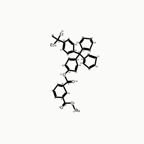 CCC(C)OC(=O)c1cccc(C(=O)Oc2ccc(C(c3ccccc3)(c3ccccc3)c3ccc(C(C)(CC)CC)cc3)cc2)c1